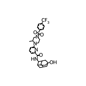 CC1CN(S(=O)(=O)c2ccc(C(F)(F)F)cc2)CCN1c1cccc(C(=O)NC2C3CC4CC2CC(O)(C4)C3)n1